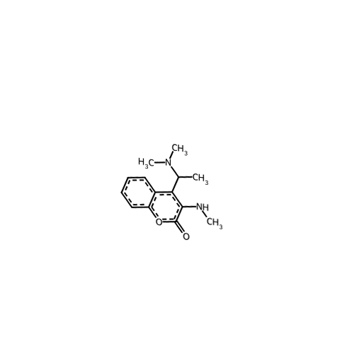 CNc1c(C(C)N(C)C)c2ccccc2oc1=O